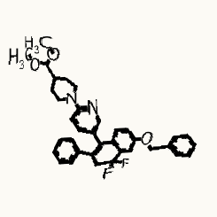 COC(OC)C1CCN(c2ccc(C3=C(c4ccccc4)CC(F)(F)c4cc(OCc5ccccc5)ccc43)cn2)CC1